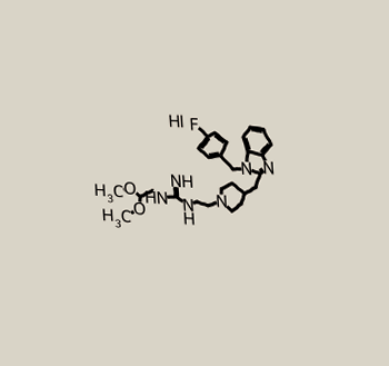 COC(CNC(=N)NCCN1CCC(Cc2nc3ccccc3n2Cc2ccc(F)cc2)CC1)OC.I